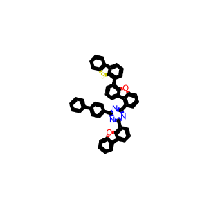 C1=Cc2c(sc3c(-c4cccc5c4oc4cccc(-c6nc(-c7ccc(-c8ccccc8)cc7)nc(-c7cccc8c7oc7ccccc78)n6)c45)cccc23)CC1